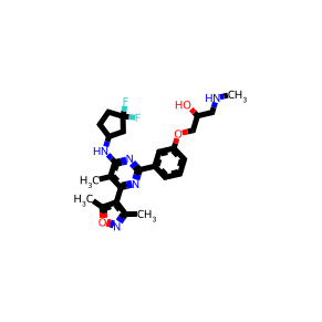 CNCC(O)COc1cccc(-c2nc(NC3CCC(F)(F)C3)c(C)c(-c3c(C)noc3C)n2)c1